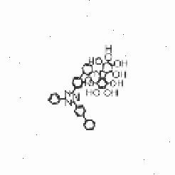 Oc1c(O)c(O)c2c(c1O)c1c(O)c(O)c(O)c(O)c1n2-c1cccc2c1oc1cc(-c3nc(-c4ccccc4)nc(-c4ccc(-c5ccccc5)cc4)n3)ccc12